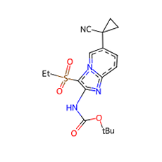 CCS(=O)(=O)c1c(NC(=O)OC(C)(C)C)nc2ccc(C3(C#N)CC3)cn12